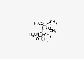 COCc1c(OC)cc(-c2cn(C)c(=O)c(C)c2C)cc1OC